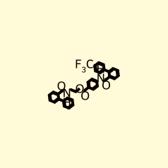 O=C(OCCNC(=O)c1ccccc1-c1ccccc1)c1ccc(NC(=O)c2ccccc2-c2ccc(C(F)(F)F)cc2)cc1